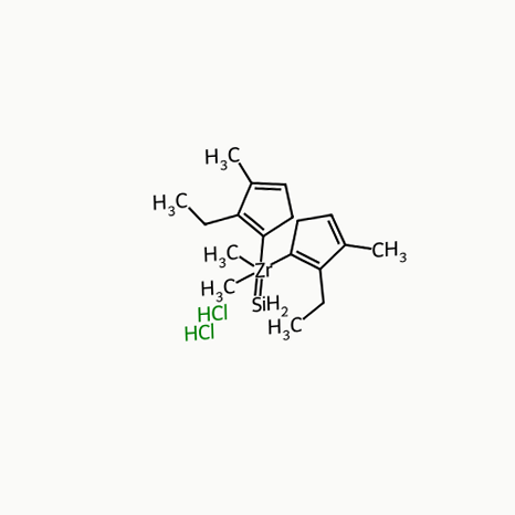 CCC1=[C]([Zr]([CH3])([CH3])(=[SiH2])[C]2=C(CC)C(C)=CC2)CC=C1C.Cl.Cl